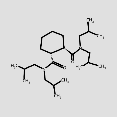 CC(C)CN(CC(C)C)C(=O)[C@@H]1CCCC[C@H]1C(=O)N(CC(C)C)CC(C)C